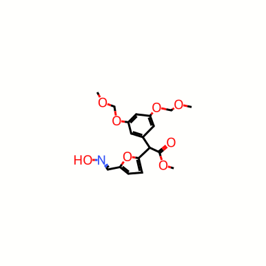 COCOc1cc(OCOC)cc(C(C(=O)OC)c2ccc(C=NO)o2)c1